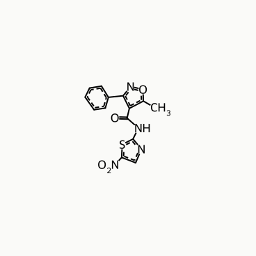 Cc1onc(-c2ccccc2)c1C(=O)Nc1ncc([N+](=O)[O-])s1